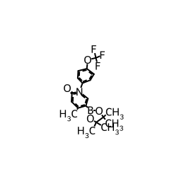 Cc1cc(=O)n(-c2ccc(OC(F)(F)F)cc2)cc1B1OC(C)(C)C(C)(C)O1